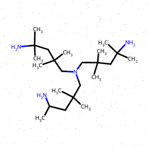 CC(N)CC(C)(C)CN(CC(C)(C)CC(C)(C)N)CC(C)(C)CC(C)(C)N